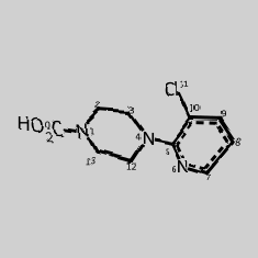 O=C(O)N1CCN(c2ncccc2Cl)CC1